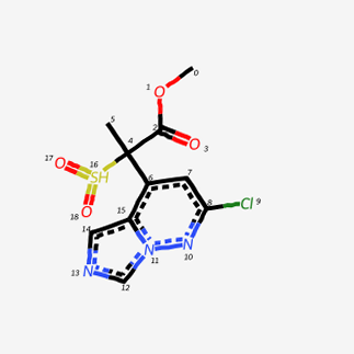 COC(=O)C(C)(c1cc(Cl)nn2cncc12)[SH](=O)=O